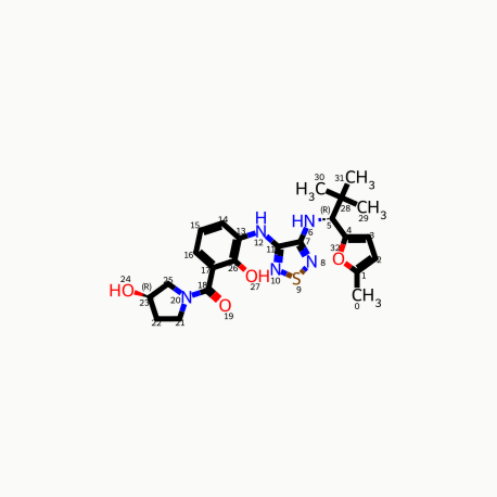 Cc1ccc([C@H](Nc2nsnc2Nc2cccc(C(=O)N3CC[C@@H](O)C3)c2O)C(C)(C)C)o1